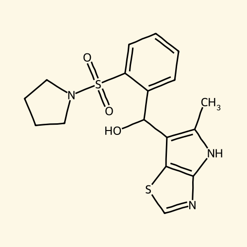 Cc1[nH]c2ncsc2c1C(O)c1ccccc1S(=O)(=O)N1CCCC1